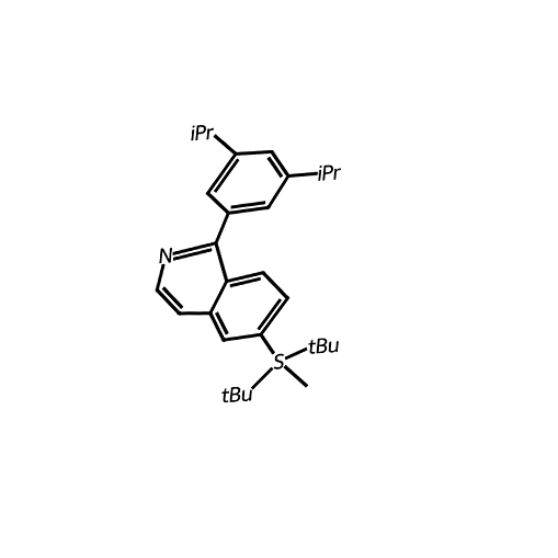 CC(C)c1cc(-c2nccc3cc(S(C)(C(C)(C)C)C(C)(C)C)ccc23)cc(C(C)C)c1